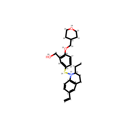 C=Cc1ccc2c(c1)CCC(CC)N2Sc1ccc(OCC2CCOCC2)c(CO)c1